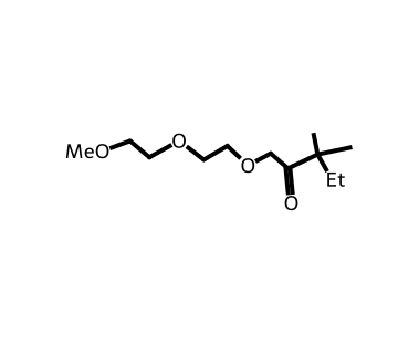 CCC(C)(C)C(=O)COCCOCCOC